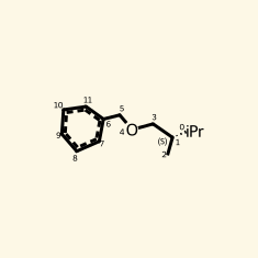 CC(C)[C@H](C)COCc1ccccc1